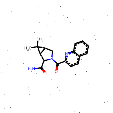 CC1(C)C2CN(C(=O)c3ccc4ccccc4n3)C(C(N)=O)C21